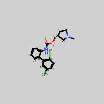 CN1CC[C@@H](COC(=O)Nc2ccccc2-c2cc(Cl)ccc2F)C1